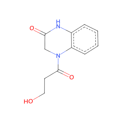 O=C1CN(C(=O)CCO)c2ccccc2N1